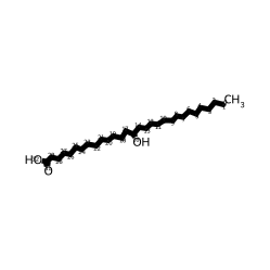 CCCCCCCCCCCCCCCC(O)CCCCCCCCCCCCCC(=O)O